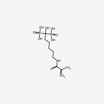 C=C(C)C(=O)NCCCCCC(O)(P(=O)(O)O)P(=O)(O)O